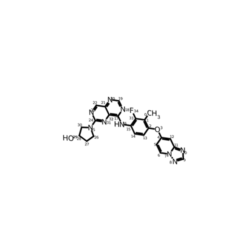 Cc1c(Oc2ccn3ncnc3c2)ccc(Nc2ncnc3cnc(N4CC[C@H](O)C4)nc23)c1F